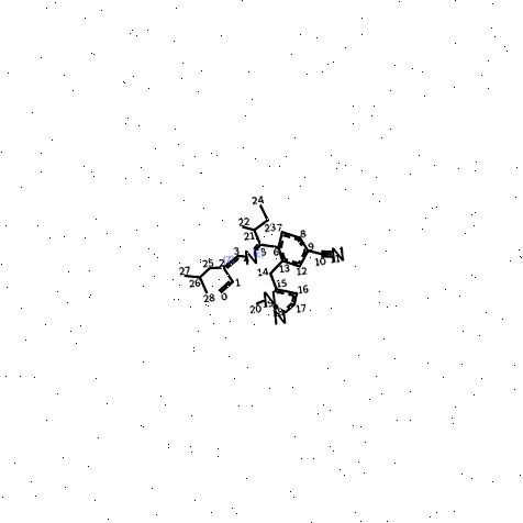 C=C/C(=C\N=C(\c1ccc(C#N)cc1Cc1ccnn1C)C(C)CC)CC(C)C